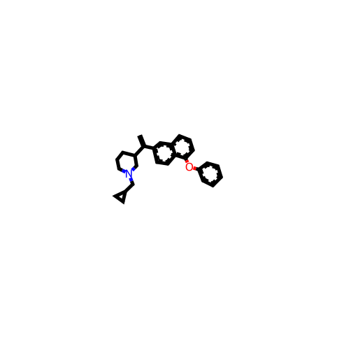 C=C(c1ccc2c(Oc3ccccc3)cccc2c1)C1CCCN(CC2CC2)C1